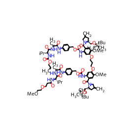 C=CCOC(=O)N[C@H](C(=O)N[C@@H](C)C(=O)Nc1ccc(COC(=O)Nc2cc(OCCCOc3cc(NC(=O)OCc4ccc(NC(=O)[C@H](C)NC(=O)[C@@H](NC(=O)CCOCCOC)C(C)C)cc4)c(C(=O)N4CC(=C)C[C@H]4CO[Si](C)(C)C(C)(C)C)cc3OC)c(OC)cc2C(=O)N2CC(=C)C[C@H]2CO[Si](C)(C)C(C)(C)C)cc1)C(C)C